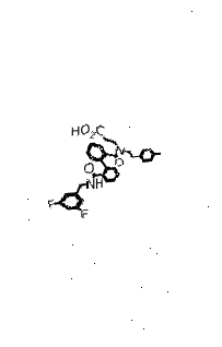 Cc1ccc(CCN(CCC(=O)O)C(=O)c2ccccc2-c2ccccc2C(=O)NCc2cc(F)cc(F)c2)cc1